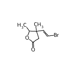 CC1OC(=O)CC1(C)C=CBr